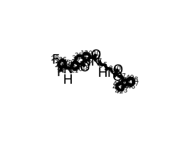 O=C(NCCCCCNC(=O)c1ccc2c(c1)C(=O)c1ccc(Nc3ccc(F)cc3F)cc1CC2)OCC1c2ccccc2-c2ccccc21